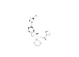 CC(F)c1nnc(-c2ccc3c(c2)C(=O)N(C2CCCC[C@H]2NC(=O)C2COC2)C3)o1